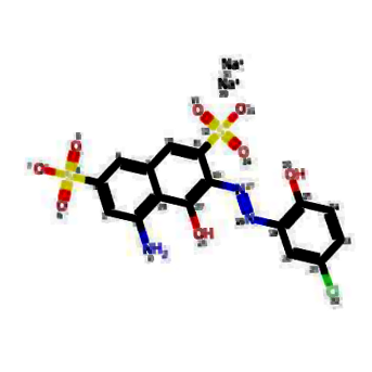 Nc1cc(S(=O)(=O)[O-])cc2cc(S(=O)(=O)[O-])c(N=Nc3cc(Cl)ccc3O)c(O)c12.[Na+].[Na+]